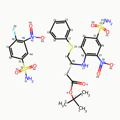 CC(C)(C)OC(=O)C[C@H](CSc1ccccc1)Nc1ccc(S(N)(=O)=O)cc1[N+](=O)[O-].NS(=O)(=O)c1ccc(F)c([N+](=O)[O-])c1